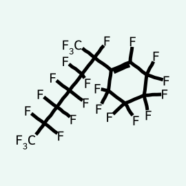 FC1=C(C(F)(C(F)(F)F)C(F)(F)C(F)(F)C(F)(F)C(F)(F)C(F)(F)F)C(F)(F)C(F)(F)C(F)(F)C1(F)F